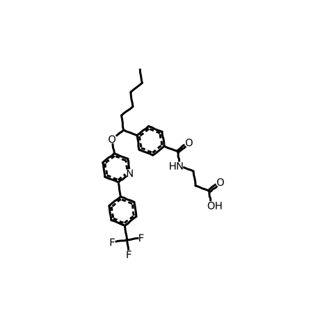 CCCCCC(Oc1ccc(-c2ccc(C(F)(F)F)cc2)nc1)c1ccc(C(=O)NCCC(=O)O)cc1